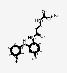 CC(C)(C)OC(=O)NCCC(=O)Nc1ccc(F)cc1Nc1cccc(F)c1